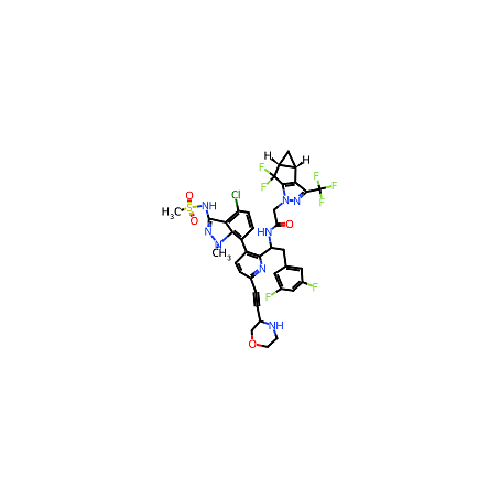 Cn1nc(NS(C)(=O)=O)c2c(Cl)ccc(-c3ccc(C#CC4COCCN4)nc3C(Cc3cc(F)cc(F)c3)NC(=O)Cn3nc(C(F)(F)F)c4c3C(F)(F)[C@@H]3C[C@H]43)c21